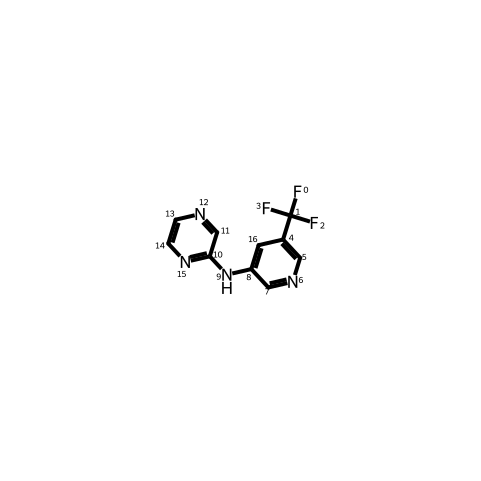 FC(F)(F)c1cncc(Nc2cnccn2)c1